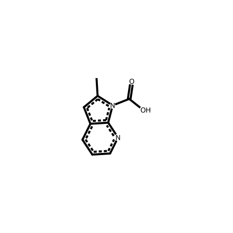 Cc1cc2cccnc2n1C(=O)O